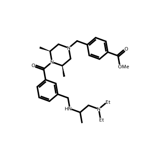 CCN(CC)CC(C)NCc1cccc(C(=O)N2[C@H](C)CN(Cc3ccc(C(=O)OC)cc3)C[C@@H]2C)c1